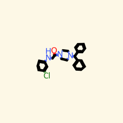 O=C(CNc1cccc(Cl)c1)N1CCN(C(c2ccccc2)c2ccccc2)CC1